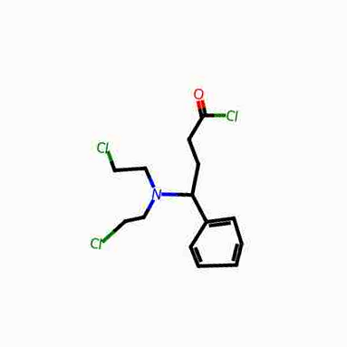 O=C(Cl)CCC(c1ccccc1)N(CCCl)CCCl